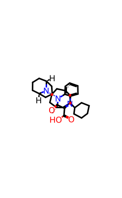 C[C@@H]1CC(C2CCCCC2)C[C@H](C)C[C@H](N2[C@@H]3CCC[C@H]2C[C@@H](n2c(=O)c(C(=O)O)nc4ccccc42)C3)C1